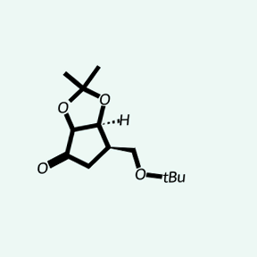 CC(C)(C)OC[C@H]1CC(=O)C2OC(C)(C)O[C@H]21